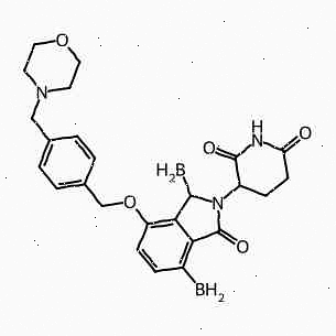 Bc1ccc(OCc2ccc(CN3CCOCC3)cc2)c2c1C(=O)N(C1CCC(=O)NC1=O)C2B